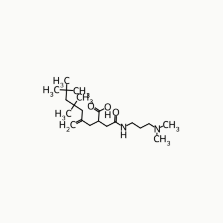 C=C(CC(CC(=O)NCCCN(C)C)C(=O)O)CC(C)(C)CC(C)(C)C